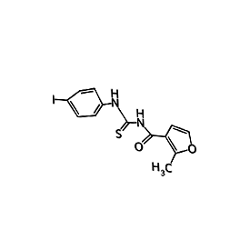 Cc1occc1C(=O)NC(=S)Nc1ccc(I)cc1